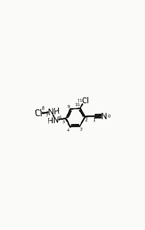 N#Cc1ccc(NNCl)cc1Cl